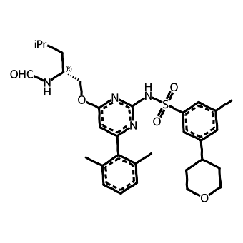 Cc1cc(C2CCOCC2)cc(S(=O)(=O)Nc2nc(OC[C@@H](CC(C)C)NC=O)cc(-c3c(C)cccc3C)n2)c1